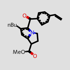 C=Cc1ccc(C(=O)c2c(CCCC)cc3n2CCC3C(=O)OC)cc1